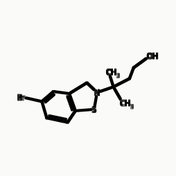 CC(C)(CCO)N1Cc2cc(Br)ccc2S1